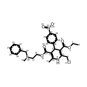 CCOC(=O)C1=C(CCl)NC(C)=C(C(=O)OCCN(C)Cc2ccccc2)C1c1ccc([N+](=O)[O-])cc1